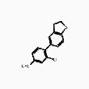 O=Cc1ccc(-c2ccc3c(c2)CCO3)c(Cl)c1